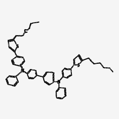 CCCCCCc1ccc(-c2ccc(N(c3ccccc3)c3ccc(-c4ccc(N(c5ccccc5)c5ccc(-c6ccc(CCCCCC)s6)cc5)cc4)cc3)cc2)s1